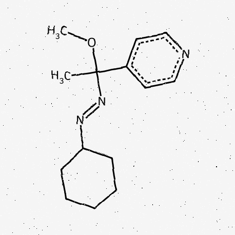 COC(C)(N=NC1CCCCC1)c1ccncc1